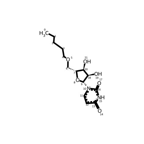 CCCCCOC[C@H]1O[C@@H](n2ccc(=O)[nH]c2=O)[C@H](O)[C@@H]1O